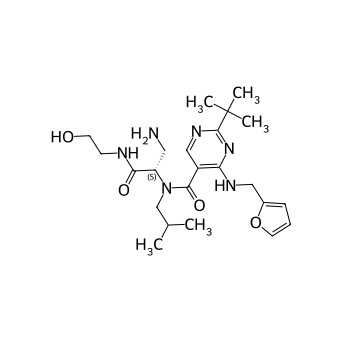 CC(C)CN(C(=O)c1cnc(C(C)(C)C)nc1NCc1ccco1)[C@@H](CN)C(=O)NCCO